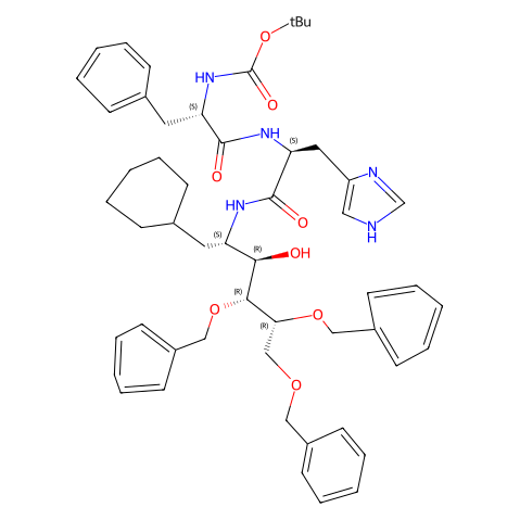 CC(C)(C)OC(=O)N[C@@H](Cc1ccccc1)C(=O)N[C@@H](Cc1c[nH]cn1)C(=O)N[C@@H](CC1CCCCC1)[C@@H](O)[C@@H](OCc1ccccc1)[C@@H](COCc1ccccc1)OCc1ccccc1